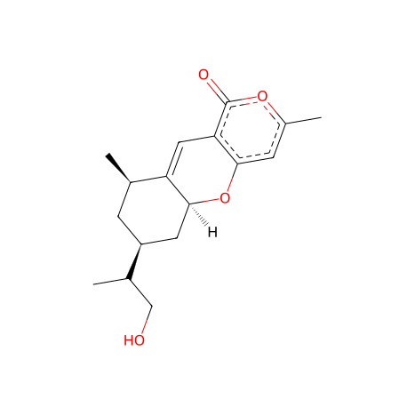 Cc1cc2c(c(=O)o1)C=C1[C@H](C)C[C@H](C(C)CO)C[C@@H]1O2